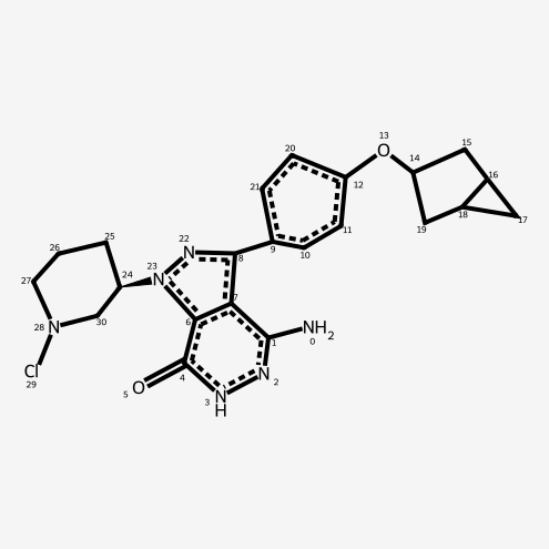 Nc1n[nH]c(=O)c2c1c(-c1ccc(OC3CC4CC4C3)cc1)nn2[C@@H]1CCCN(Cl)C1